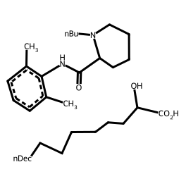 CCCCCCCCCCCCCCCCC(O)C(=O)O.CCCCN1CCCCC1C(=O)Nc1c(C)cccc1C